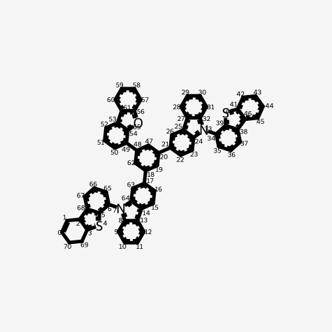 C1=Cc2c(sc3c(-n4c5ccccc5c5ccc(-c6cc(-c7ccc8c(c7)c7ccccc7n8-c7cccc8c7sc7ccccc78)cc(-c7cccc8c7oc7ccccc78)c6)cc54)cccc23)CC1